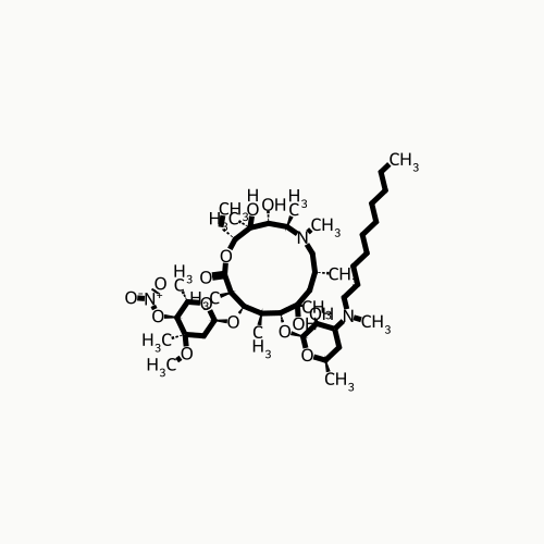 CCCCCCCCCCN(C)C1C[C@@H](C)O[C@@H](O[C@@H]2[C@@H](C)[C@H](O[C@H]3C[C@@](C)(OC)[C@@H](O[N+](=O)[O-])[C@H](C)O3)[C@@H](C)C(=O)O[C@H](CC)[C@@](C)(O)[C@H](O)[C@@H](C)N(C)C[C@H](C)C[C@@]2(C)O)[C@@H]1O